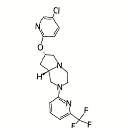 FC(F)(F)c1cccc(N2CCN3C[C@@H](Oc4ccc(Cl)cn4)C[C@H]3C2)n1